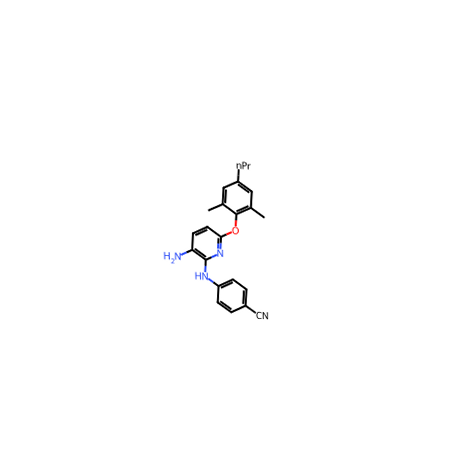 CCCc1cc(C)c(Oc2ccc(N)c(Nc3ccc(C#N)cc3)n2)c(C)c1